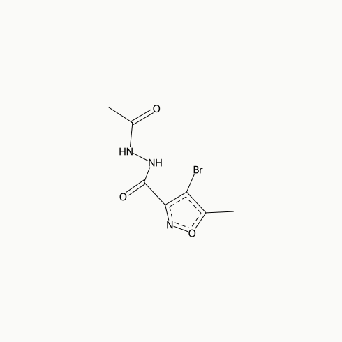 CC(=O)NNC(=O)c1noc(C)c1Br